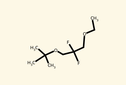 CCOCC(F)(F)COC(C)(C)C